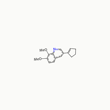 COc1ccc2cc(C3=CCCC3)cnc2c1OC